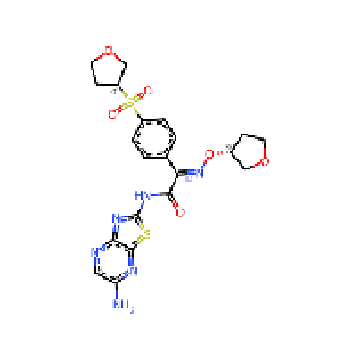 Nc1cnc2nc(NC(=O)/C(=N/O[C@@H]3CCOC3)c3ccc(S(=O)(=O)[C@H]4CCOC4)cc3)sc2n1